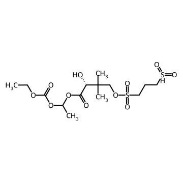 CCOC(=O)OC(C)OC(=O)[C@H](O)C(C)(C)COS(=O)(=O)CCC[SH](=O)=O